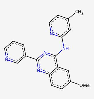 COc1ccc2nc(-c3cccnc3)nc(Nc3cc(C)ccn3)c2c1